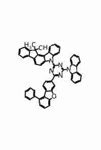 CC1(C)c2ccccc2-c2ccc3c(c21)c1ccccc1n3-c1nc(-c2ccc3c(c2)oc2cccc(-c4ccccc4)c23)nc(-n2c3ccccc3c3ccccc32)n1